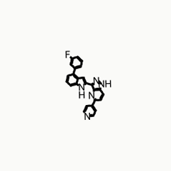 Fc1cccc(-c2cccc3[nH]c(-c4n[nH]c5ccc(-c6ccncc6)nc45)cc23)c1